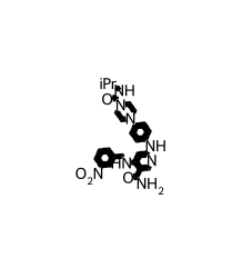 CC(C)NC(=O)N1CCN(c2ccc(Nc3cc(NCc4cccc([N+](=O)[O-])c4)c(C(N)=O)cn3)cc2)CC1